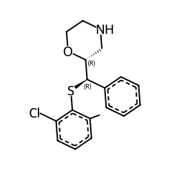 Cc1cccc(Cl)c1S[C@H](c1ccccc1)[C@H]1CNCCO1